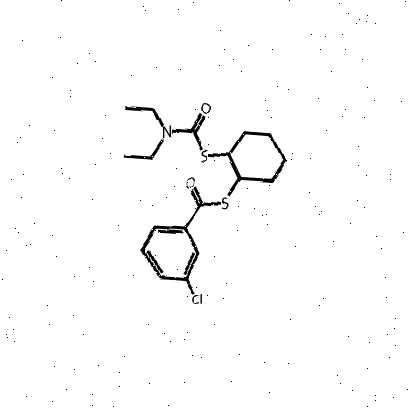 CCN(CC)C(=O)SC1CCCCC1SC(=O)c1cccc(Cl)c1